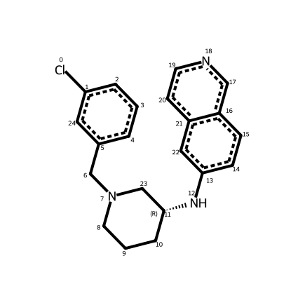 Clc1cccc(CN2CCC[C@@H](Nc3ccc4cnccc4c3)C2)c1